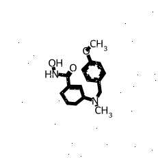 COc1ccc(CN(C)C2C=C(C(=O)NO)CCC2)cc1